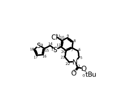 CC(C)(C)OC(=O)N1CCc2ccc(Cl)c(SCc3cccs3)c2CC1